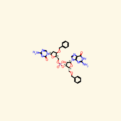 Nc1ncn([C@H]2CC(OCc3ccccc3)[C@@H](COP(=O)(O)O[C@@H]3C[C@H](n4cnc5c(=O)[nH]c(N)nc54)O[C@@H]3COCc3ccccc3)O2)c(=O)n1